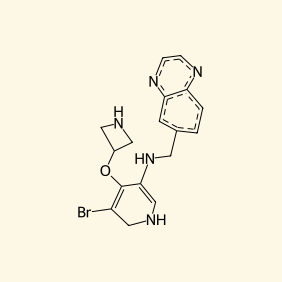 BrC1=C(OC2CNC2)C(NCc2ccc3nccnc3c2)=CNC1